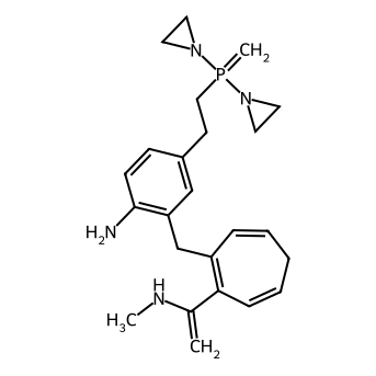 C=C(NC)C1=C(Cc2cc(CCP(=C)(N3CC3)N3CC3)ccc2N)C=CCC=C1